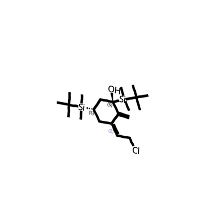 C=C1/C(=C\CCl)C[C@H]([Si](C)(C)C(C)(C)C)C[C@]1(O)[Si](C)(C)C(C)(C)C